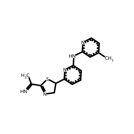 CC(=N)C1=NCC(c2cccc(Nc3cc(C)ccn3)n2)S1